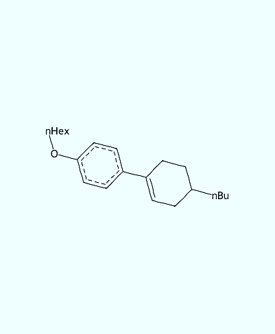 CCCCCCOc1ccc(C2=CCC(CCCC)CC2)cc1